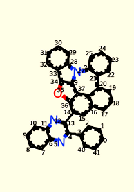 c1ccc(-c2nc3ccccc3nc2-c2cc3cccc4c5ccccc5n5c6ccccc6c6oc2c(c34)c65)cc1